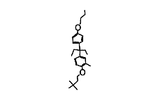 CCCCOc1ccc(C(CC)(CC)c2ccc(OCCC(C)(C)C)c(C)c2)cc1